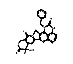 CC[C@@]1(OC(C)=O)C(=O)OCc2c1cc1n(c2=O)Cc2c-1nc1cccc3c1c2N(Cc1ccccc1)C(=O)N3